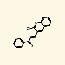 O=C(/C=C/c1cc2ccccc2nc1Cl)c1ccccc1